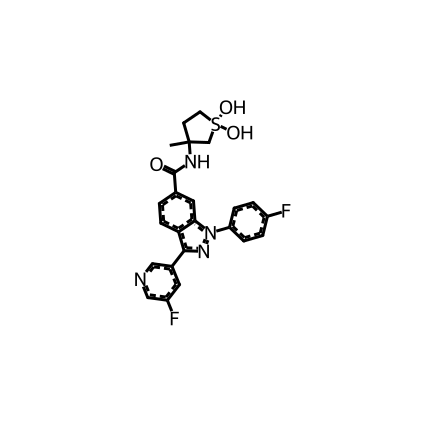 CC1(NC(=O)c2ccc3c(-c4cncc(F)c4)nn(-c4ccc(F)cc4)c3c2)CCS(O)(O)C1